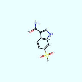 CS(=O)(=O)c1ccc2c(C(N)=O)c[nH]c2c1